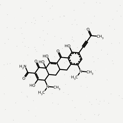 CC(=O)C#Cc1cc(N(C)C)c2c(c1O)C(=O)C1=C(O)C3(O)C(=O)C(C(N)=O)=C(O)C(N(C)C)C3CC1C2